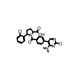 CN(C)c1nc(Cl)ncc1-c1ccc(C(=O)N2C(C(=O)O)CCC2c2ccccc2Cl)cc1